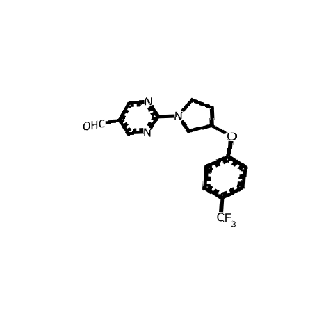 O=Cc1cnc(N2CCC(Oc3ccc(C(F)(F)F)cc3)C2)nc1